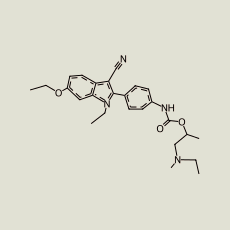 CCOc1ccc2c(C#N)c(-c3ccc(NC(=O)OC(C)CN(C)CC)cc3)n(CC)c2c1